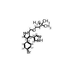 C[Si](C)(C)CCOCn1ncc(-c2ccc(Br)cc2)c1-c1cn[nH]c1